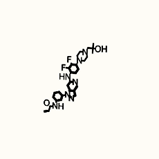 C=CC(=O)Nc1cccc(-n2ncc3cnc(Nc4ccc(N5CCN(CC(C)(C)O)CC5)c(F)c4F)cc32)c1